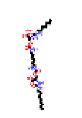 CCCCCCCCNC(=O)NC(COC(=O)NCCCCCCNC(=O)OCC(NC(=O)NCCCCCCC)C(=O)OC)C(=O)OC